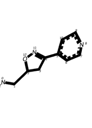 NCC1CC(c2ccncc2)=NO1